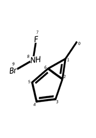 Cc1c2cccc1-2.FNBr